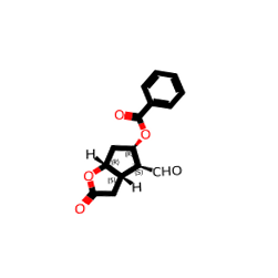 O=C[C@H]1[C@@H]2CC(=O)O[C@@H]2C[C@H]1OC(=O)c1ccccc1